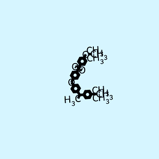 CC(c1ccc(Oc2ccc(S(=O)(=O)c3ccc(OC(C)(C)C)cc3)cc2)cc1)c1ccc(C(C)(C)C)cc1